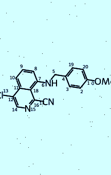 COc1ccc(CNc2cccc3c(Cl)cnc(C#N)c23)cc1